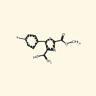 C=C(O)c1nc(C(=O)OC)sc1-c1ccc(F)cc1